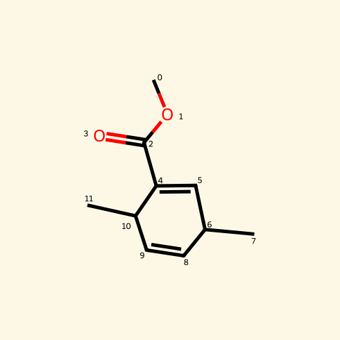 COC(=O)C1=CC(C)C=CC1C